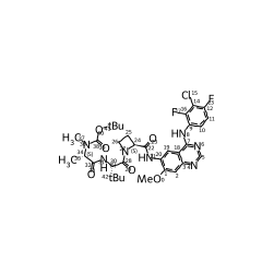 COc1cc2ncnc(Nc3ccc(F)c(Cl)c3F)c2cc1NC(=O)[C@@H]1CCN1C(=O)[C@@H](NC(=O)[C@H](C)N(C)C(=O)OC(C)(C)C)C(C)(C)C